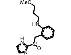 COCCCNc1ccccc1C[S+]([O-])c1ncc[nH]1